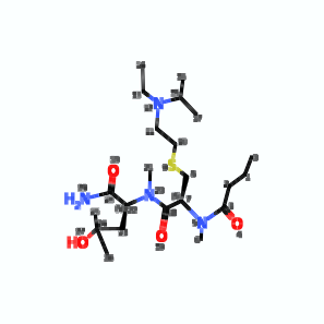 CCCC(=O)N(C)[C@H](CSCCN(CC)C(C)C)C(=O)N(C)[C@@H](CC(C)(C)O)C(N)=O